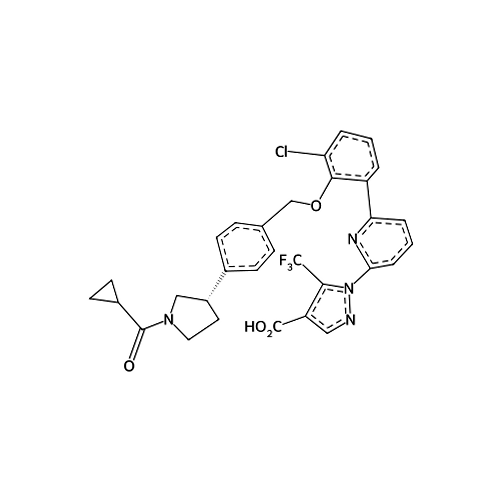 O=C(O)c1cnn(-c2cccc(-c3cccc(Cl)c3OCc3ccc([C@@H]4CCN(C(=O)C5CC5)C4)cc3)n2)c1C(F)(F)F